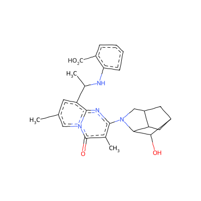 Cc1cc(C(C)Nc2ccccc2C(=O)O)c2nc(N3CC4CC5CC4C3C5O)c(C)c(=O)n2c1